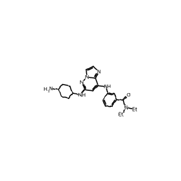 CCN(CC)C(=O)c1cccc(Nc2cc(NC3CCC(N)CC3)nn3ccnc23)c1